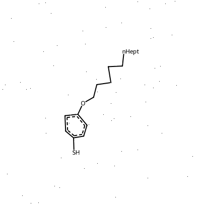 CCCCCCCCCCCCOc1ccc(S)cc1